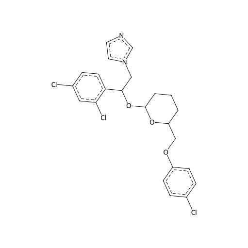 Clc1ccc(OCC2CCCC(OC(Cn3ccnc3)c3ccc(Cl)cc3Cl)O2)cc1